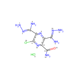 Cl.NN=C(N)c1nc(C(N)=NN)c(C(N)=O)nc1Cl